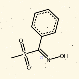 CS(=O)(=O)/C(=N/O)c1ccccc1